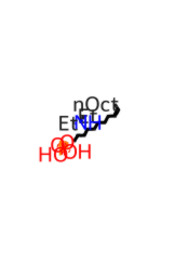 CCCCCCCC/C=C\CCCCCCCCOP(=O)(O)O.CCNCC